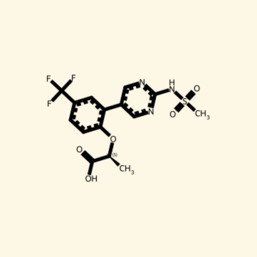 C[C@H](Oc1ccc(C(F)(F)F)cc1-c1cnc(NS(C)(=O)=O)nc1)C(=O)O